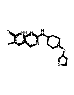 Cc1cc2cnc(NC3CCN(SC4CCSC4)CC3)nc2[nH]c1=O